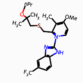 CCCOC(C)(C)CSCc1c(C)c(OC)cc[n+]1-c1nc2cc(C(F)(F)F)ccc2[nH]1